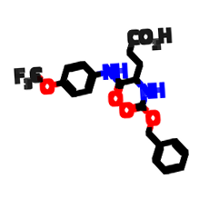 O=C(O)CCC(NC(=O)OCc1ccccc1)C(=O)Nc1ccc(OC(F)(F)F)cc1